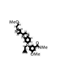 CNC(=O)c1cc(OC)cc(N(CC2CC2)c2ccc3ncc(-c4cnn(CCOC)c4)nc3c2)c1